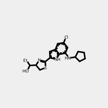 CCC(O)C1CSC(c2cc3cc(Cl)cc(NC4CCCC4)c3[nH]2)=N1